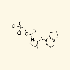 O=C(OCC(Cl)(Cl)Cl)N1CCN=C1Nc1cccc2c1CCC2